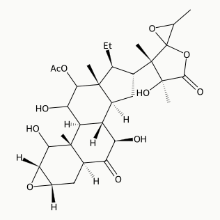 CC[C@H]1[C@H]([C@]2(C)C3(OC(=O)[C@@]2(C)O)OC3C)C[C@H]2[C@@H]3[C@@H](O)C(=O)[C@H]4C[C@@H]5O[C@@H]5C(O)[C@]4(C)[C@H]3C(O)C(OC(C)=O)[C@@]21C